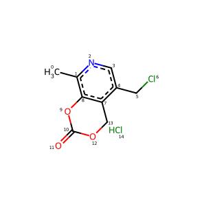 Cc1ncc(CCl)c2c1OC(=O)OC2.Cl